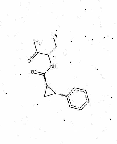 CC(C)C[C@H](NC(=O)[C@@H]1C[C@H]1c1ccccc1)C(N)=O